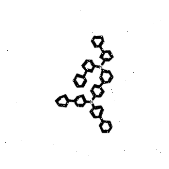 c1ccc(-c2ccc(N(c3ccc(-c4ccccc4)cc3)c3ccc(-c4cccc(N(c5cccc(-c6ccccc6)c5)c5cccc(-c6ccccc6)c5)c4)cc3)cc2)cc1